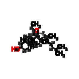 CCCC[C@@]12C(=O)C[C@H]([C@H](C)CCCC(C)C)[C@@]1(C)CC[C@H]1C2=CC[C@H]2C[C@@H](O)CC[C@@]21C